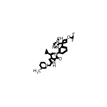 C[C@H]1CCCN(Cc2cc3c(C4CC4)cn(-c4cccc(C5(c6nncn6C)CC(OC(F)F)C5)c4)c(=O)c3[nH]2)C1